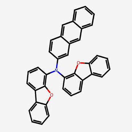 c1ccc2cc3cc(N(c4cccc5c4oc4ccccc45)c4cccc5c4oc4ccccc45)ccc3cc2c1